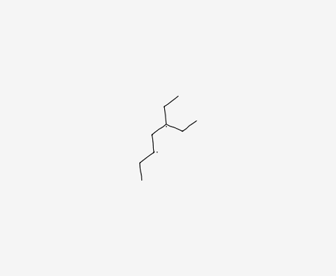 CC[CH]C[C](CC)CC